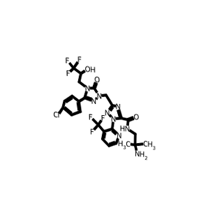 CC(C)(N)CNC(=O)c1nc(Cn2nc(-c3ccc(Cl)cc3)n(CC(O)C(F)(F)F)c2=O)nn1-c1ncccc1C(F)(F)F